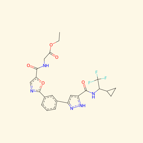 CCOC(=O)CNC(=O)c1cnc(-c2cccc(-c3cc(C(=O)NC(C4CC4)C(F)(F)F)[nH]n3)c2)o1